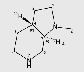 CN1CC[C@H]2CCNC[C@@H]21